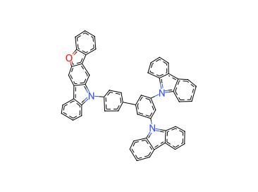 c1ccc2c(c1)oc1cc3c4ccccc4n(-c4ccc(-c5cc(-n6c7ccccc7c7ccccc76)cc(-n6c7ccccc7c7ccccc76)c5)cc4)c3cc12